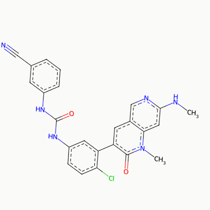 CNc1cc2c(cn1)cc(-c1cc(NC(=O)Nc3cccc(C#N)c3)ccc1Cl)c(=O)n2C